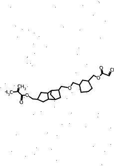 C=CC(=O)OCC1CCCC(COCC2CC3CC2C2CC(COC(=O)C(=C)C)CC32)C1